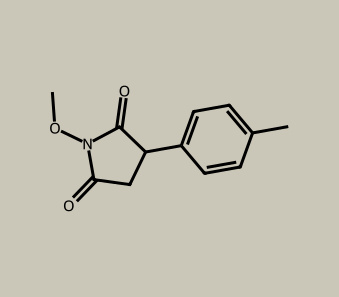 CON1C(=O)CC(c2ccc(C)cc2)C1=O